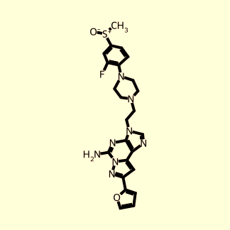 C[S+]([O-])c1ccc(N2CCN(CCn3cnc4c3nc(N)n3nc(-c5ccco5)cc43)CC2)c(F)c1